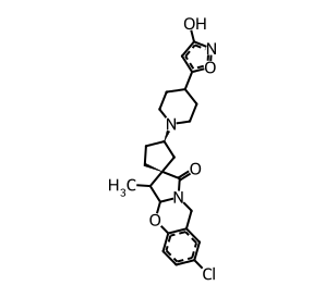 CC1C2Oc3ccc(Cl)cc3CN2C(=O)[C@]12CC[C@@H](N1CCC(c3cc(O)no3)CC1)C2